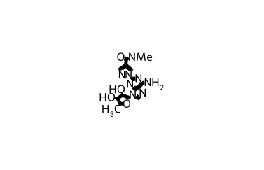 CNC(=O)c1cnn(-c2nc(N)c3ncn([C@@H]4O[C@H](C)[C@@H](O)[C@H]4O)c3n2)c1